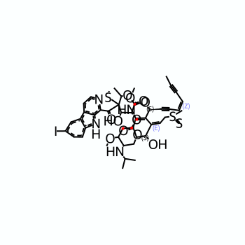 CC#C/C=C\C#C[C@H](OC1OC(C)C(SC)(C(=O)c2nccc3c2[nH]c2ccc(I)cc23)C(O)C1OC1CC(OC)C(NC(C)C)CO1)C1=C(NC(=O)OC)C(=O)C[C@H](O)/C1=C/CS(C)=S